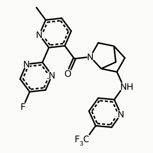 Cc1ccc(C(=O)N2CC3CC(Nc4ccc(C(F)(F)F)cn4)C2C3)c(-c2ncc(F)cn2)n1